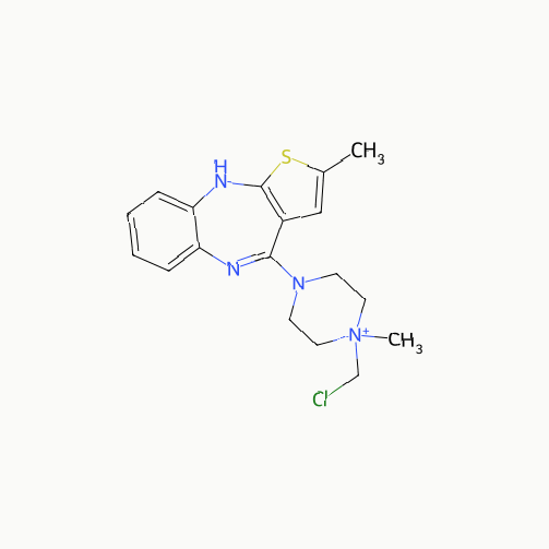 Cc1cc2c(s1)Nc1ccccc1N=C2N1CC[N+](C)(CCl)CC1